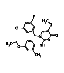 CCOc1ccc(Nc2nc(=O)c(OC)cn2Cc2cc(F)cc(Cl)c2)c(C)c1